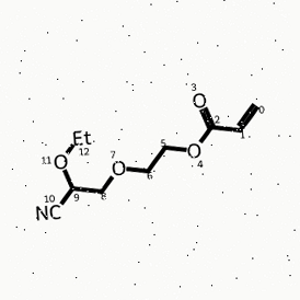 C=CC(=O)OCCOCC(C#N)OCC